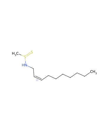 CCCCCCC/C=C\CNS(C)=S